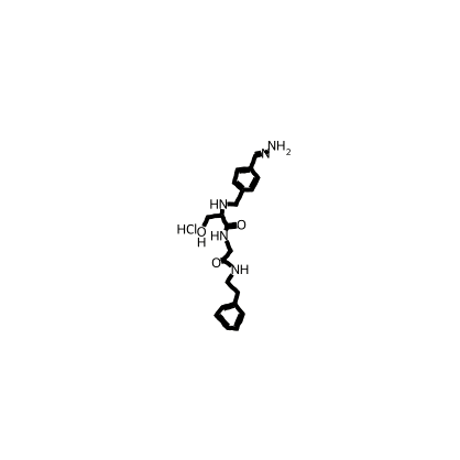 Cl.NN=Cc1ccc(CNC(CO)C(=O)NCC(=O)NCCc2ccccc2)cc1